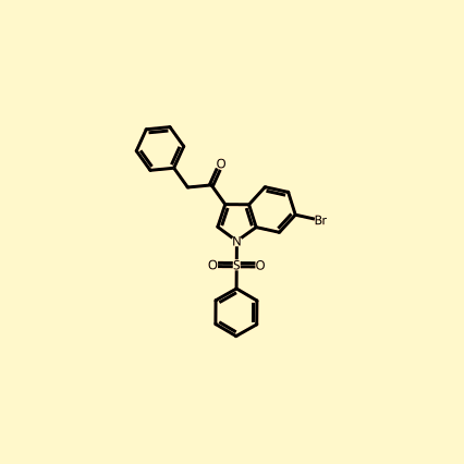 O=C(Cc1ccccc1)c1cn(S(=O)(=O)c2ccccc2)c2cc(Br)ccc12